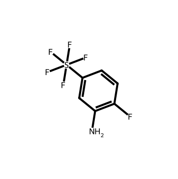 Nc1cc(S(F)(F)(F)(F)F)ccc1F